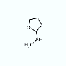 [CH2]NC1CCCO1